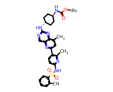 Cc1nc(NS(=O)(=O)c2ccccc2C#N)ccc1-c1cc(C)c2nc(N[C@H]3CC[C@H](NC(=O)OC(C)(C)C)CC3)ncc2n1